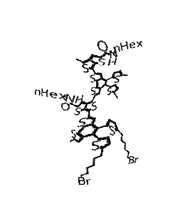 CCCCCCNC(=O)c1cc2c(C)sc(-c3cc4c(-c5ccc(C)s5)c(-c5ccc(C)s5)c5cc(-c6sc(-c7cc8c(-c9ccc(CCCCCCBr)s9)c(-c9ccc(CCCCCCBr)s9)c9cc(C)sc9c8s7)c7sc(C(=O)NCCCCCC)cc67)sc5c4s3)c2s1